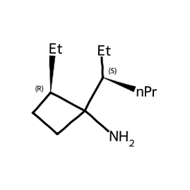 CCC[C@H](CC)C1(N)CC[C@H]1CC